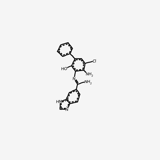 NC(=Nc1c(N)c(Cl)cc(-c2ccccc2)c1O)c1ccc2nc[nH]c2c1